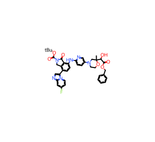 CC(C)(C)OC(=O)N1Cc2c(-c3cnc4cc(F)ccn34)ccc(Nc3ccc(N4CCOC(C)(C(O)C(=O)OCc5ccccc5)C4)cn3)c2C1=O